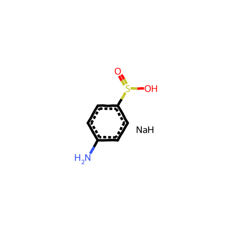 Nc1ccc(S(=O)O)cc1.[NaH]